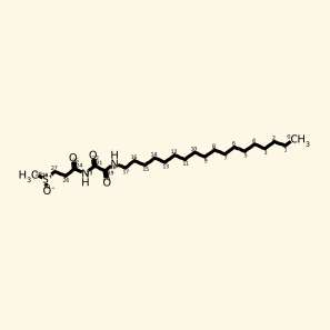 CCCCCCCCCCCCCCCCCCNC(=O)C(=O)NC(=O)CC[S+](C)[O-]